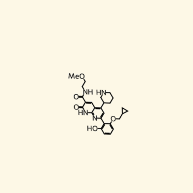 COCCNC(=O)c1cc2c(C3CCCNC3)cc(-c3c(O)cccc3OCC3CC3)nc2[nH]c1=O